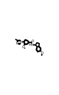 COc1ccc2c(c1)CCC2NC(=O)c1ccc(-n2cnc(C)c2)c(OC)c1